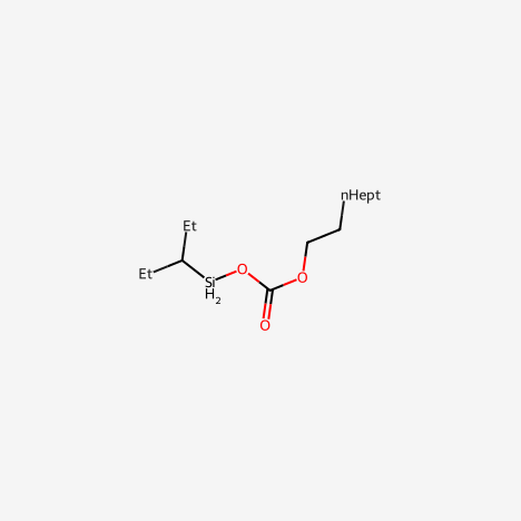 CCCCCCCCCOC(=O)O[SiH2]C(CC)CC